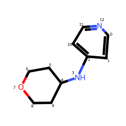 c1cc(NC2CCOCC2)ccn1